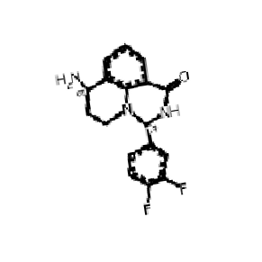 N[C@@H]1CCN2c3c(cccc31)C(=O)N[C@H]2c1ccc(F)c(F)c1